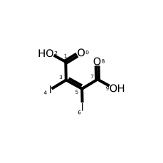 O=C(O)/C(I)=C(/I)C(=O)O